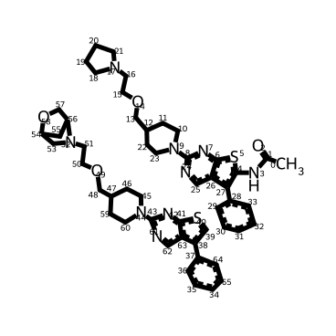 CC(=O)Nc1sc2nc(N3CCC(COCCN4CCCC4)CC3)ncc2c1-c1ccccc1.c1ccc(-c2csc3nc(N4CCC(COCCN5CC6CC5CO6)CC4)ncc23)cc1